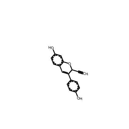 C#CC1Oc2cc(O)ccc2C=C1c1ccc(O)cc1